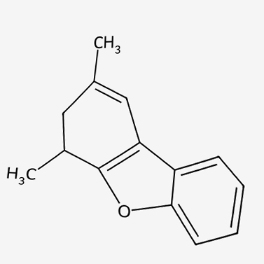 CC1=Cc2c(oc3ccccc23)C(C)C1